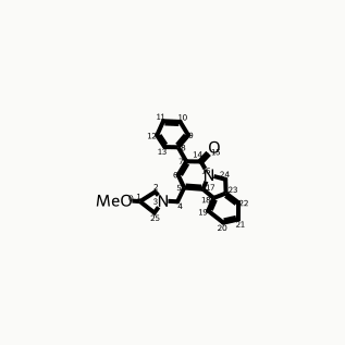 COC1CN(Cc2cc(-c3ccccc3)c(=O)n3c2-c2ccccc2C3)C1